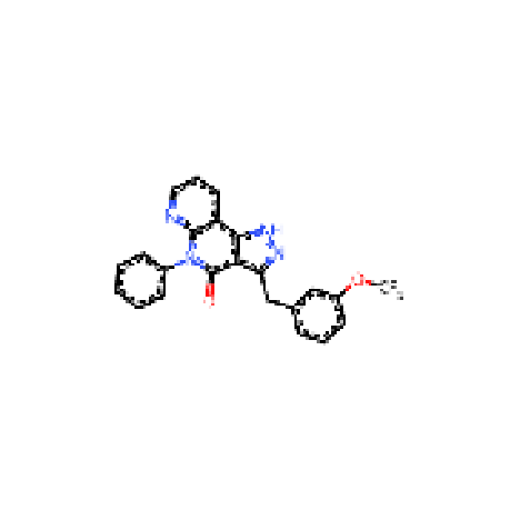 O=c1c2c(Cc3cccc(OC(F)(F)F)c3)n[nH]c2c2cccnc2n1-c1ccccc1